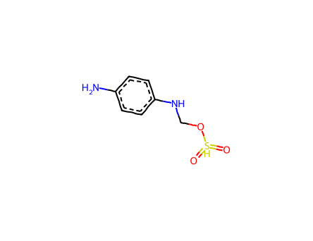 Nc1ccc(NCO[SH](=O)=O)cc1